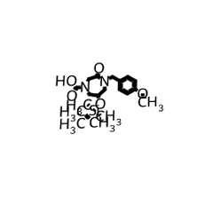 COc1ccc(CN2CC(O[Si](C)(C)C(C)(C)C)CN(C(=O)O)CC2=O)cc1